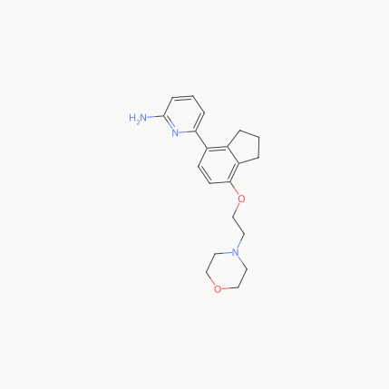 Nc1cccc(-c2ccc(OCCN3CCOCC3)c3c2CCC3)n1